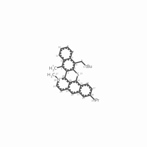 Cc1c2c(c(CC(C)(C)C)c3ccccc13)Sc1c3ccc(C(C)C)cc3cc3cc[n+](C)c-2c13